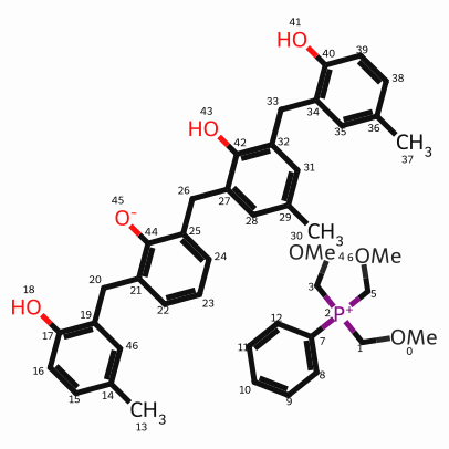 COC[P+](COC)(COC)c1ccccc1.Cc1ccc(O)c(Cc2cccc(Cc3cc(C)cc(Cc4cc(C)ccc4O)c3O)c2[O-])c1